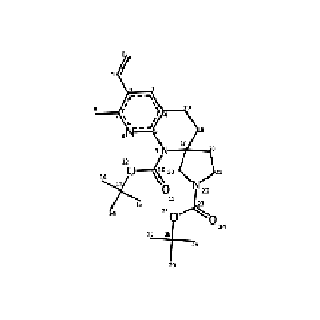 C=Cc1cc2c(nc1C)N(C(=O)OC(C)(C)C)C1(CC2)CCN(C(=O)OC(C)(C)C)C1